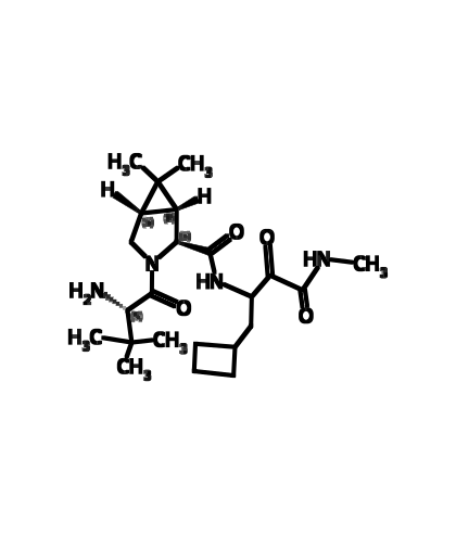 CNC(=O)C(=O)C(CC1CCC1)NC(=O)[C@@H]1[C@@H]2[C@H](CN1C(=O)[C@@H](N)C(C)(C)C)C2(C)C